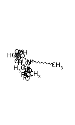 CCCCCCCCCCCCCC[N+](C)(CCCCOC1O[C@H](CO)[C@@H](O)[C@H](O)[C@H]1O)CCCP(=O)(OCC)OCC.O=C([O-])C(F)(F)F